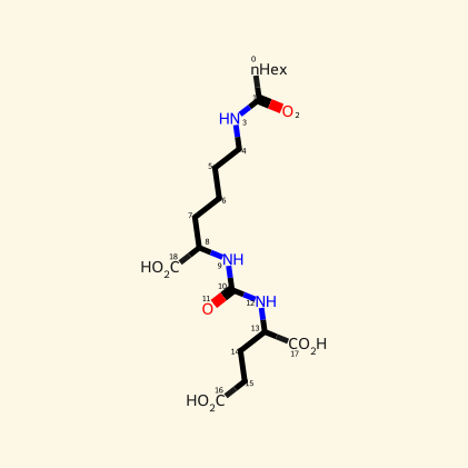 CCCCCCC(=O)NCCCCC(NC(=O)NC(CCC(=O)O)C(=O)O)C(=O)O